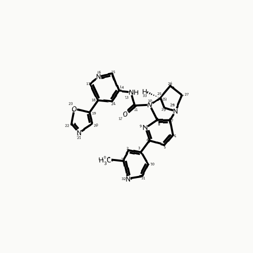 Cc1cc(-c2ccc3c(n2)N(C(=O)Nc2cncc(-c4cnco4)c2)[C@H]2CCN3C2)ccn1